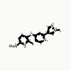 CNc1ccc(Oc2ccnc(-c3cnn(C)c3)c2)c(C)n1